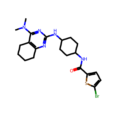 CN(C)c1nc(NC2CCC(NC(=O)c3ccc(Br)s3)CC2)nc2c1CCCC2